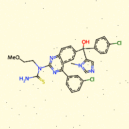 COCCN(C(N)=S)c1nc(-c2cccc(Cl)c2)c2cc(C(O)(c3ccc(Cl)cc3)c3cncn3C)ccc2n1